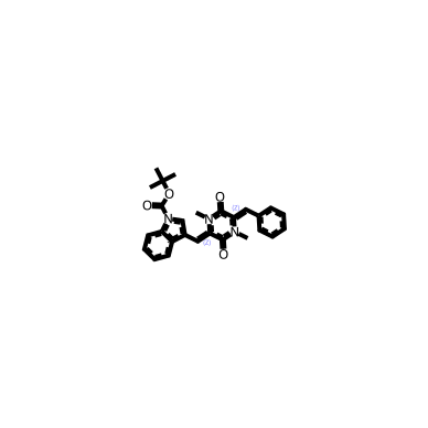 Cn1c(=O)/c(=C/c2cn(C(=O)OC(C)(C)C)c3ccccc23)n(C)c(=O)/c1=C/c1ccccc1